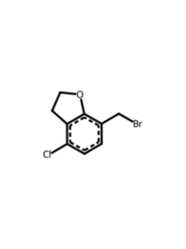 Clc1ccc(CBr)c2c1CCO2